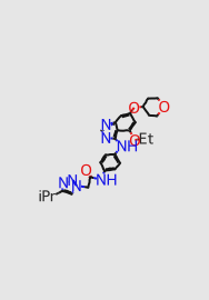 CCOc1cc(OC2CCOCC2)cc2ncnc(Nc3ccc(NC(=O)Cn4cc(C(C)C)nn4)cc3)c12